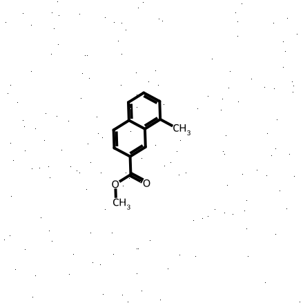 COC(=O)c1ccc2cccc(C)c2c1